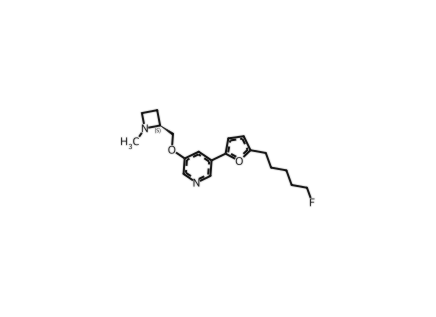 CN1CC[C@H]1COc1cncc(-c2ccc(CCCCCF)o2)c1